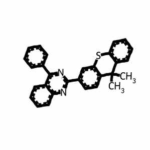 CC1(C)c2ccccc2Sc2cc(-c3nc(-c4ccccc4)c4ccccc4n3)ccc21